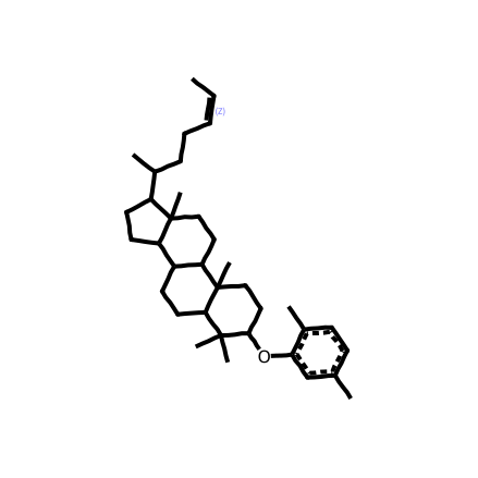 C/C=C\CCC(C)C1CCC2C3CCC4C(C)(C)C(Oc5cc(C)ccc5C)CCC4(C)C3CCC12C